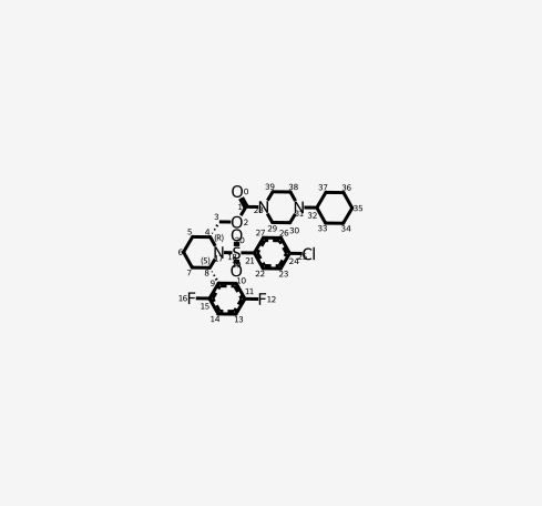 O=C(OC[C@H]1CCC[C@@H](c2cc(F)ccc2F)N1S(=O)(=O)c1ccc(Cl)cc1)N1CCN(C2CCCCC2)CC1